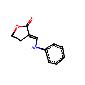 O=C1OCCC1=CNc1ccccc1